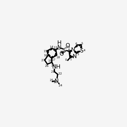 Cc1nc2sccn2c1S(=O)(=O)Nc1ccc2c(c1)C(NCCN(C)C)CC2